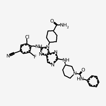 N#Cc1cc(F)c(Nc2nc3cnc(N[C@@H]4CCCN(C(=O)Nc5ccccc5)C4)nc3n2C2CCC(C(N)=O)CC2)c(Cl)c1